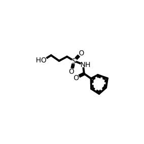 O=C(NS(=O)(=O)CCCO)c1ccccc1